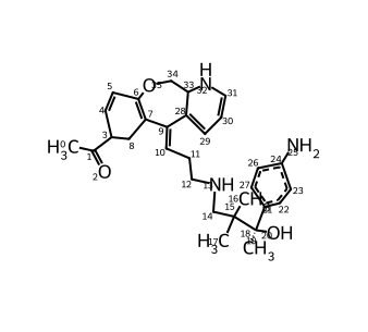 CC(=O)C1C=CC2=C(C1)/C(=C/CCNCC(C)(C)[C@](C)(O)c1ccc(N)cc1)C1=CC=CNC1CO2